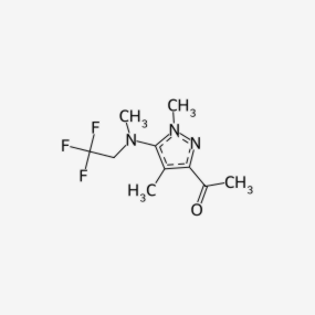 CC(=O)c1nn(C)c(N(C)CC(F)(F)F)c1C